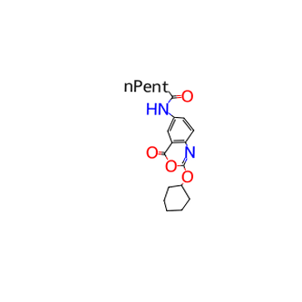 CCCCCC(=O)Nc1ccc2nc(OC3CCCCC3)oc(=O)c2c1